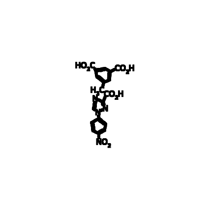 Cc1cc(C(=O)O)cc(C(=O)O)c1.O=C(O)c1ncn(-c2ccc([N+](=O)[O-])cc2)n1